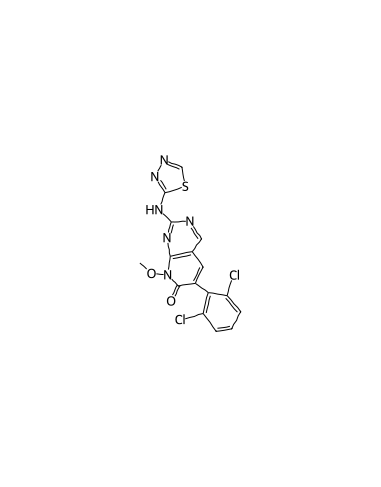 COn1c(=O)c(-c2c(Cl)cccc2Cl)cc2cnc(Nc3nncs3)nc21